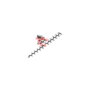 CCCCCCCCCCCCOCCCCCCCCCCCC.O=C([O-])CC(C(=O)[O-])S(=O)(=O)O.[Na+].[Na+]